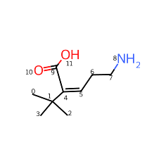 CC(C)(C)C(=CCCN)C(=O)O